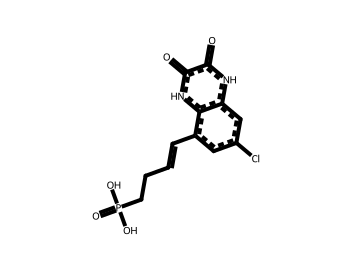 O=c1[nH]c2cc(Cl)cc(/C=C/CCP(=O)(O)O)c2[nH]c1=O